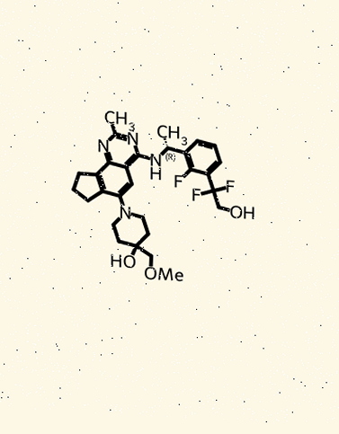 COCC1(O)CCN(c2cc3c(N[C@H](C)c4cccc(C(F)(F)CO)c4F)nc(C)nc3c3c2CCC3)CC1